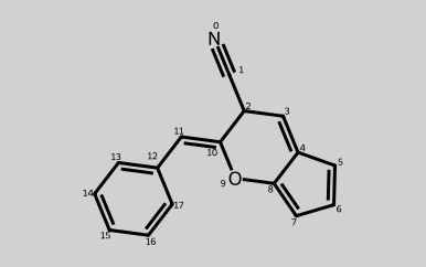 N#CC1C=C2C=CC=C2OC1=Cc1ccccc1